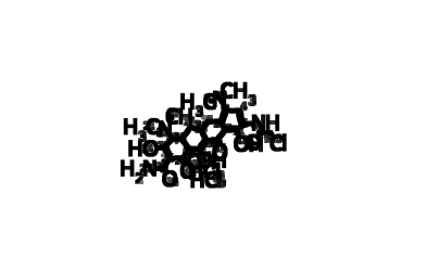 CN(C)c1cc(NC(=O)CCl)c(O)c2c1CC1CC3[C@H](N(C)C)C(O)=C(C(N)=O)C(=O)[C@@]3(O)C(O)=C1C2=O.Cl.Cl